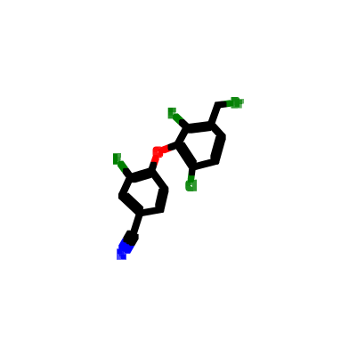 N#Cc1ccc(Oc2c(Cl)ccc(CBr)c2F)c(F)c1